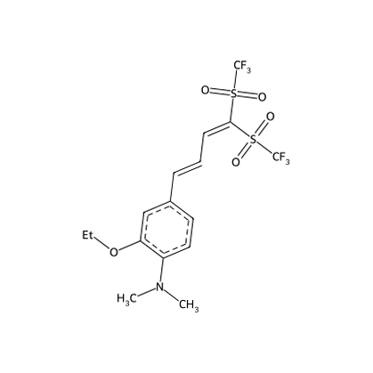 CCOc1cc(C=CC=C(S(=O)(=O)C(F)(F)F)S(=O)(=O)C(F)(F)F)ccc1N(C)C